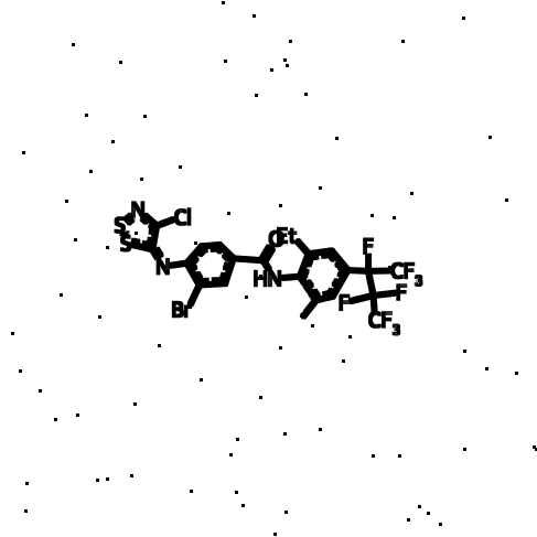 CCc1cc(C(F)(C(F)(F)F)C(F)(F)C(F)(F)F)cc(C)c1NC(=O)c1ccc(/N=c2/ssnc2Cl)c(Br)c1